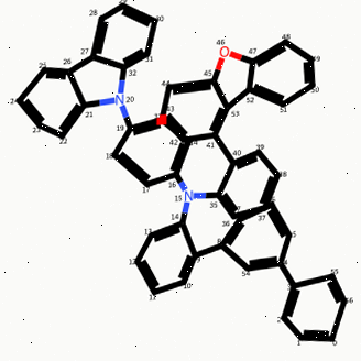 c1ccc(-c2cccc(-c3ccccc3N(c3ccc(-n4c5ccccc5c5ccccc54)cc3)c3ccccc3-c3cccc4oc5ccccc5c34)c2)cc1